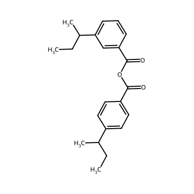 CCC(C)c1ccc(C(=O)OC(=O)c2cccc(C(C)CC)c2)cc1